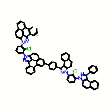 C/C=C\c1c(C)c2cccc3ccc4c(c1nn4-c1cccc(-n4nc5c6ccccc6c6cc(-c7ccc(-c8nn(-c9cccc(-n%10nc(-c%11ccccc%11)c%11c%12ccccc%12ccc%11%10)c9Cl)c9ccc%10ccccc%10c89)cc7)cc7ccc4c5c76)c1Cl)c32